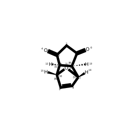 O=C1CC(=O)[C@H]2[C@@H]1[C@@H]1C=C[C@H]2O1